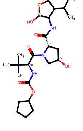 CC(C)C1COB(O)C1NC(=O)[C@@H]1C[C@@H](O)CN1C(=O)[C@@H](NC(=O)OC1CCCC1)C(C)(C)C